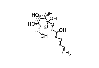 C=CCOCC(O)COC1(O)O[C@H](CO)[C@@H](O)[C@H](O)[C@H]1O